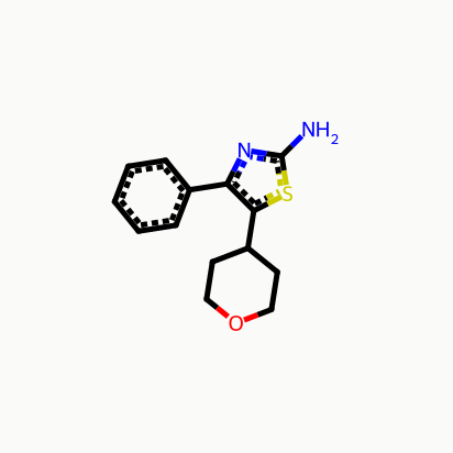 Nc1nc(-c2ccccc2)c(C2CCOCC2)s1